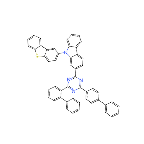 c1ccc(-c2ccc(-c3nc(-c4ccc5c6ccccc6n(-c6ccc7sc8ccccc8c7c6)c5c4)nc(-c4ccccc4-c4ccccc4)n3)cc2)cc1